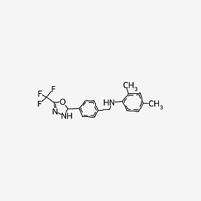 Cc1ccc(NCc2ccc(C3NN=C(C(F)(F)F)O3)cc2)c(C)c1